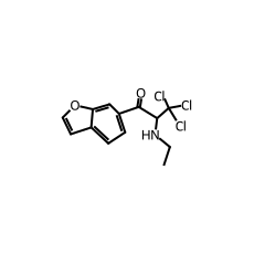 CCNC(C(=O)c1ccc2ccoc2c1)C(Cl)(Cl)Cl